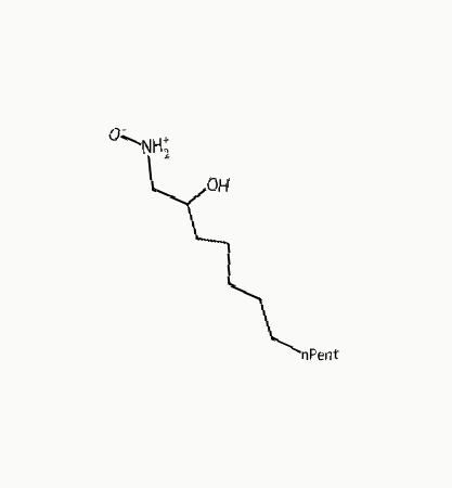 CCCCCCCCCCC(O)C[NH2+][O-]